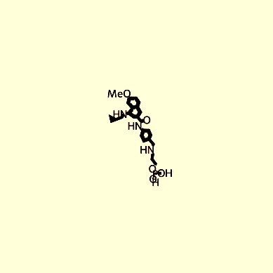 COc1ccc2cc(C(=O)Nc3ccc(CNCCCO[PH](=O)O)cc3)cc(NCC3CC3)c2c1